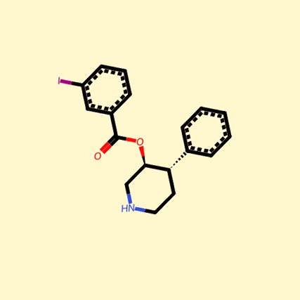 O=C(O[C@@H]1CNCC[C@H]1c1ccccc1)c1cccc(I)c1